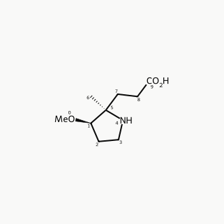 CO[C@@H]1CCN[C@]1(C)CCC(=O)O